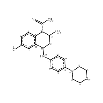 CC(=O)N1c2ccc(Cl)cc2C(Nc2ccc(N3CCOCC3)cc2)CC1C